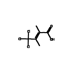 CC(C(=O)O)=C(C)C(Cl)(Cl)Cl